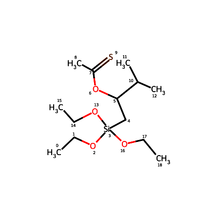 CCO[Si](CC(OC(C)=S)C(C)C)(OCC)OCC